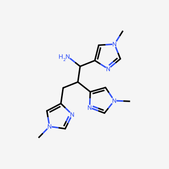 Cn1cnc(CC(c2cn(C)cn2)C(N)c2cn(C)cn2)c1